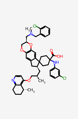 C[C@@H](COc1ccnc2c1[C@H](C)CCC2)C[C@H]1Cc2cc3c(cc2C12CCC(Nc1cccc(Cl)c1)(C(=O)O)CC2)O[C@H](CN(C)Cc1ccccc1Cl)CO3